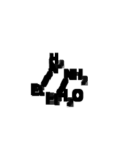 CCN.CCN.O